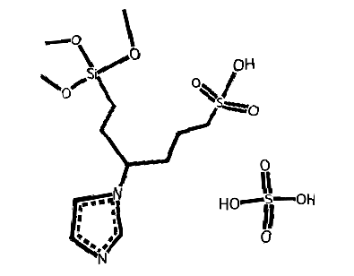 CO[Si](CCC(CCCS(=O)(=O)O)n1ccnc1)(OC)OC.O=S(=O)(O)O